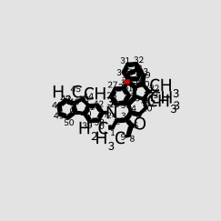 C=C/C(=c1/c2c(o/c1=C/C)CC1(C)C(=C2)c2ccccc2C1(C)C)N(c1ccc(-c2ccccc2)cc1)c1ccc2c(c1)C(C)(C)c1ccccc1-2